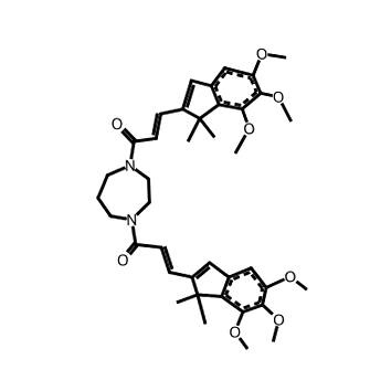 COc1cc2c(c(OC)c1OC)C(C)(C)C(/C=C/C(=O)N1CCCN(C(=O)/C=C/C3=Cc4cc(OC)c(OC)c(OC)c4C3(C)C)CC1)=C2